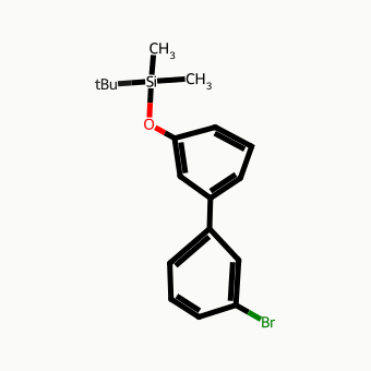 CC(C)(C)[Si](C)(C)Oc1cccc(-c2cccc(Br)c2)c1